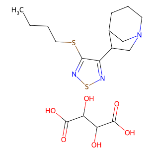 CCCCSc1nsnc1C1CN2CCCC1C2.O=C(O)C(O)C(O)C(=O)O